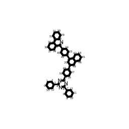 c1ccc(-c2nc(-c3ccccc3)nc(-c3ccc(-c4cc(-c5ccc(-c6nc7ccccc7c7ccccc67)cc5)c5ccccc5c4)cc3)n2)cc1